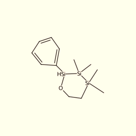 C[Si]1(C)CCO[SiH](c2ccccc2)[Si]1(C)C